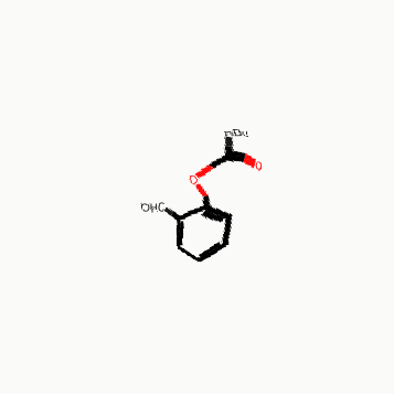 CCCCC(=O)Oc1ccccc1C=O